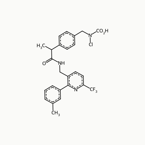 Cc1cccc(-c2nc(C(F)(F)F)ccc2CNC(=O)C(C)c2ccc(CN(Cl)C(=O)O)cc2)c1